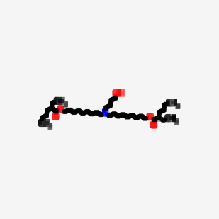 CCCCC(CC)C(=O)OCCCCCCCCCN(CCCCO)CCCCCCCCCOC(=O)[C@H](CC)CCCC